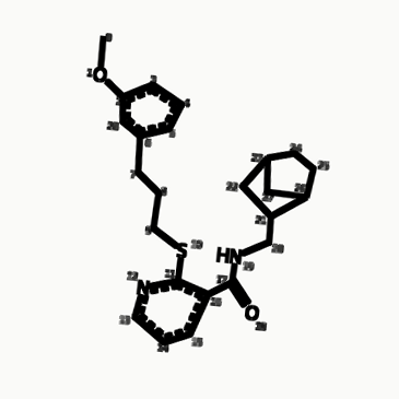 COc1cccc(CCCSc2ncccc2C(=O)NCC2CC3CCC2C3)c1